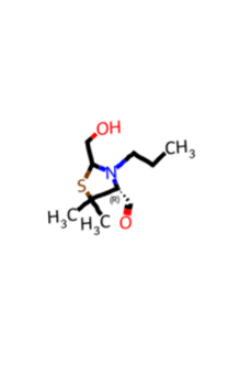 CCCN1C(CO)SC(C)(C)[C@H]1C=O